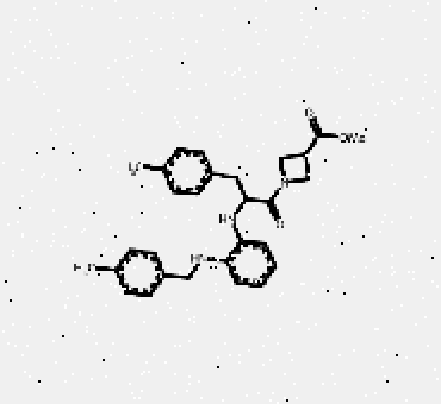 COC(=O)C1CN(C(=O)C(Cc2ccc(C)cc2)Nc2ccccc2NCc2ccc(C)cc2)C1